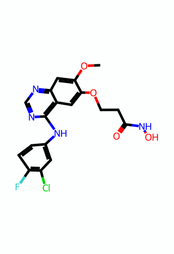 COc1cc2ncnc(Nc3ccc(F)c(Cl)c3)c2cc1OCCC(=O)NO